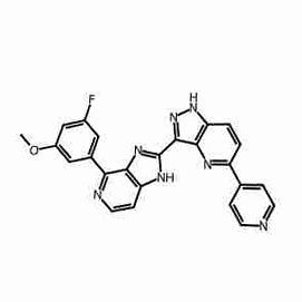 COc1cc(F)cc(-c2nccc3[nH]c(-c4n[nH]c5ccc(-c6ccncc6)nc45)nc23)c1